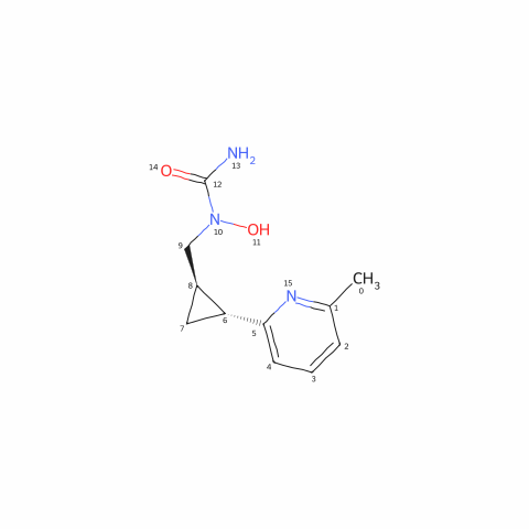 Cc1cccc([C@@H]2C[C@H]2CN(O)C(N)=O)n1